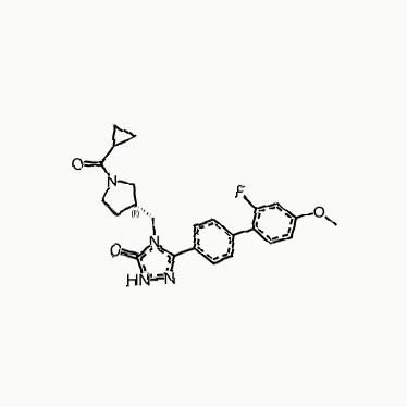 COc1ccc(-c2ccc(-c3n[nH]c(=O)n3C[C@@H]3CCN(C(=O)C4CC4)C3)cc2)c(F)c1